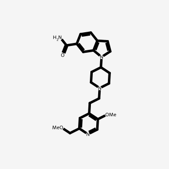 COCc1cc(CCN2CCC(n3ccc4ccc(C(N)=O)cc43)CC2)c(OC)cn1